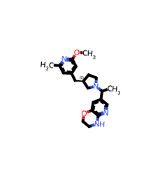 COc1cc(C[C@H]2CCN(C(C)c3cnc4c(c3)OCCN4)C2)cc(C)n1